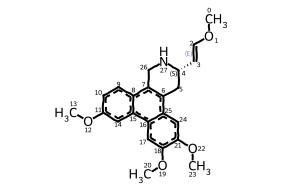 CO/C=C/[C@@H]1Cc2c(c3ccc(OC)cc3c3cc(OC)c(OC)cc23)CN1